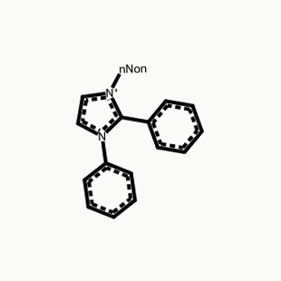 CCCCCCCCC[n+]1ccn(-c2ccccc2)c1-c1ccccc1